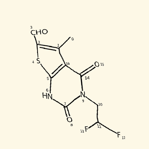 Cc1c(C=O)sc2[nH]c(=O)n(CC(F)F)c(=O)c12